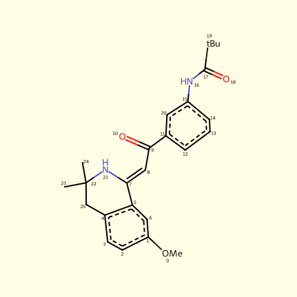 COc1ccc2c(c1)C(=CC(=O)c1cccc(NC(=O)C(C)(C)C)c1)NC(C)(C)C2